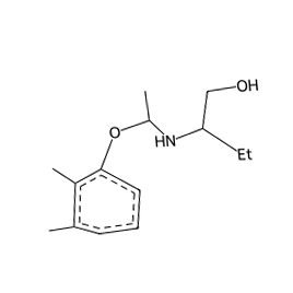 CCC(CO)NC(C)Oc1cccc(C)c1C